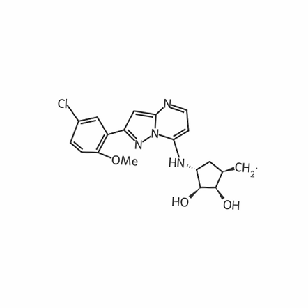 [CH2][C@@H]1C[C@@H](Nc2ccnc3cc(-c4cc(Cl)ccc4OC)nn23)[C@H](O)[C@@H]1O